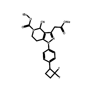 COC(=O)Cc1nn(-c2ccc(C3CCC3(F)F)cc2)c2c1C(C#N)N(C(=O)OC(C)(C)C)CC2